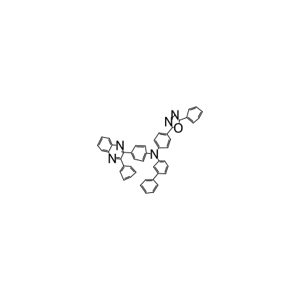 c1ccc(-c2cccc(N(c3ccc(-c4nnc(-c5ccccc5)o4)cc3)c3ccc(-c4nc5ccccc5nc4-c4ccccc4)cc3)c2)cc1